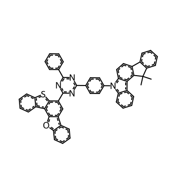 CC1(C)c2ccccc2-c2ccc3c(c21)c1ccccc1n3-c1ccc(-c2nc(-c3ccccc3)nc(-c3cc4c5ccccc5oc4c4c3sc3ccccc34)n2)cc1